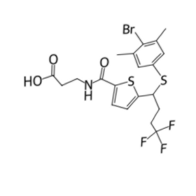 Cc1cc(SC(CCC(F)(F)F)c2ccc(C(=O)NCCC(=O)O)s2)cc(C)c1Br